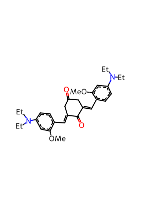 CCN(CC)c1ccc(C=C2CC(=O)CC(=Cc3ccc(N(CC)CC)cc3OC)C2=O)c(OC)c1